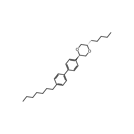 CCCCCCCc1ccc(-c2ccc([C@@H]3CO[C@@H](CCCCC)CO3)cc2)cc1